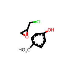 ClCC1CO1.O=C(O)c1ccc(O)cc1